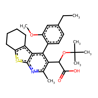 CCc1ccc(-c2c(C(OC(C)(C)C)C(=O)O)c(C)nc3sc4c(c23)CCCC4)c(OC)c1